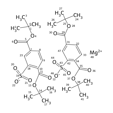 CC(C)(C)OC(=O)c1ccc(C(=O)OC(C)(C)C)c(S(=O)(=O)[O-])c1.CC(C)(C)OC(=O)c1ccc(C(=O)OC(C)(C)C)c(S(=O)(=O)[O-])c1.[Mg+2]